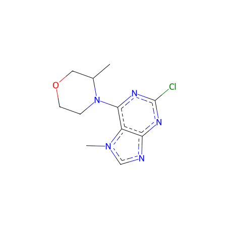 CC1COCCN1c1nc(Cl)nc2ncn(C)c12